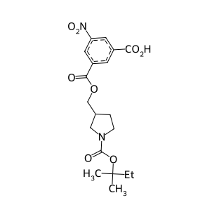 CCC(C)(C)OC(=O)N1CCC(COC(=O)c2cc(C(=O)O)cc([N+](=O)[O-])c2)C1